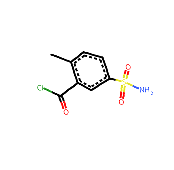 Cc1ccc(S(N)(=O)=O)cc1C(=O)Cl